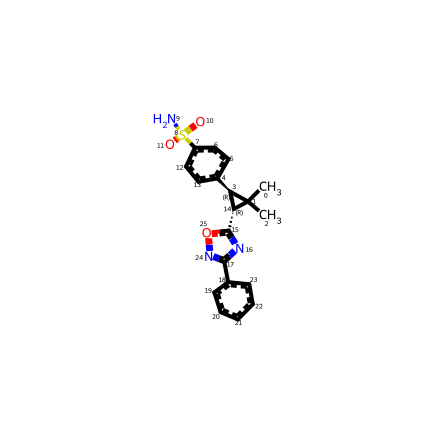 CC1(C)[C@H](c2ccc(S(N)(=O)=O)cc2)[C@H]1c1nc(-c2ccccc2)no1